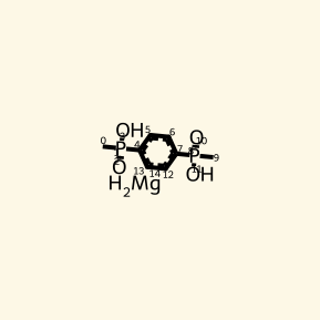 CP(=O)(O)c1ccc(P(C)(=O)O)cc1.[MgH2]